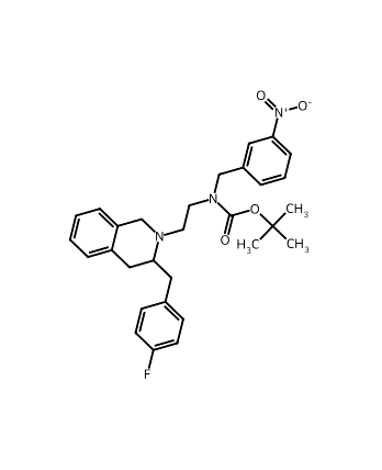 CC(C)(C)OC(=O)N(CCN1Cc2ccccc2CC1Cc1ccc(F)cc1)Cc1cccc([N+](=O)[O-])c1